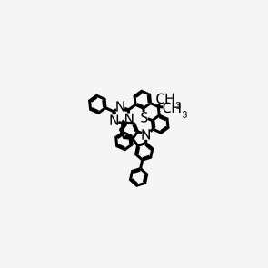 CC1(C)c2cccc(-c3nc(-c4ccccc4)nc(-c4ccccc4)n3)c2Sc2c(-n3c4ccccc4c4cc(-c5ccccc5)ccc43)cccc21